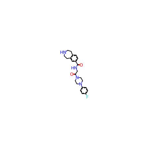 O=C(NCC(=O)N1CCN(c2ccc(F)cc2)CC1)c1ccc2c(c1)CCNCC2